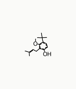 COc1c(C(C)(C)C)ccc(O)c1CC=C(C)C